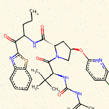 C=C(C)NC(=O)N[C@H](C(=O)N1C[C@H](Oc2ccc(Cl)cn2)C[C@H]1C(=O)NC(CCC)C(=O)c1nc2ccccc2s1)C(C)(C)C